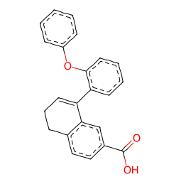 O=C(O)c1ccc2c(c1)C(c1ccccc1Oc1ccccc1)=CCC2